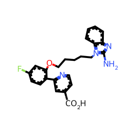 Nc1nc2ccccc2n1CCCCCOc1cc(F)ccc1-c1cc(C(=O)O)ccn1